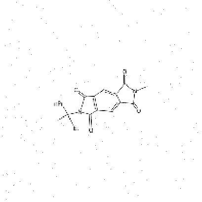 CCCC(C)(CC)n1c(=O)c2cc3c(=O)n(C)c(=O)c3cc2c1=O